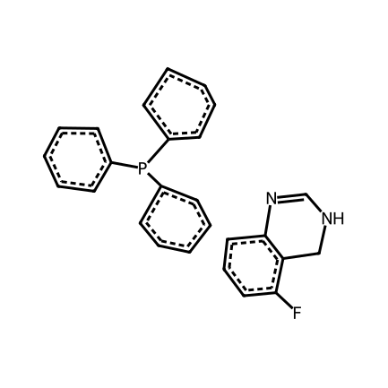 Fc1cccc2c1CNC=N2.c1ccc(P(c2ccccc2)c2ccccc2)cc1